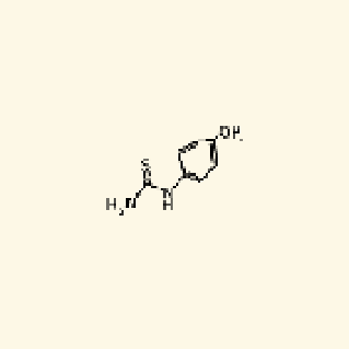 NC(=S)Nc1ccc(O)cc1